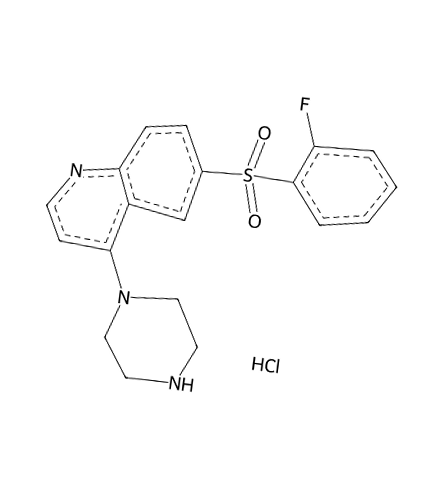 Cl.O=S(=O)(c1ccc2nccc(N3CCNCC3)c2c1)c1ccccc1F